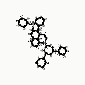 C1=CN(c2nc(-c3ccccc3)cc(-c3ccccc3)n2)c2cccc3cc4c(c1c23)c1ccccc1n4-c1ccccc1